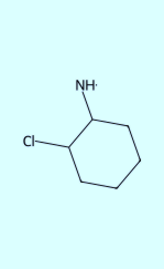 [NH]C1CCCCC1Cl